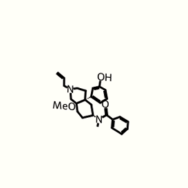 C=CCN1CC[C@@]2(c3cccc(O)c3)C[C@H](N(C)C(=O)c3ccccc3)CC[C@]2(OC)C1